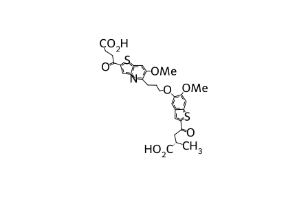 COc1cc2sc(C(=O)C[C@H](C)C(=O)O)cc2cc1OCCCc1nc2cc(C(=O)CCC(=O)O)sc2cc1OC